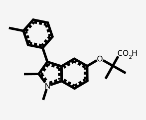 Cc1cccc(-c2c(C)n(C)c3ccc(OC(C)(C)C(=O)O)cc23)c1